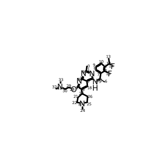 Cc1nc(N[C@H](C)c2cccc(C(C)F)c2F)c2cc(C3CCN(C)CC3)c(OCCN(C)C)nc2n1